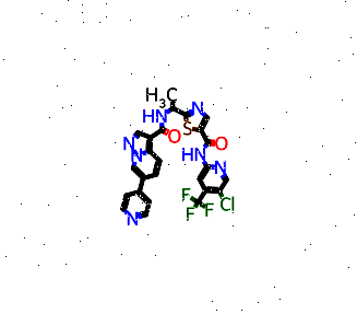 CC(NC(=O)c1cnn2cc(-c3ccncc3)ccc12)c1ncc(C(=O)Nc2cc(C(F)(F)F)c(Cl)cn2)s1